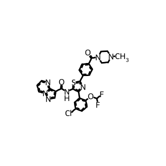 CN1CCN(C(=O)c2ccc(-c3nc(-c4cc(Cl)ccc4OC(F)F)c(NC(=O)c4cnn5cccnc45)s3)cc2)CC1